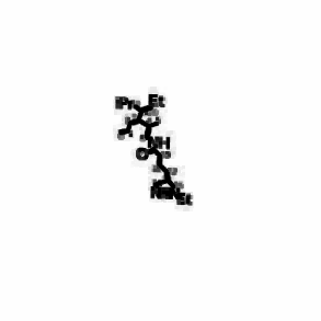 C=C/C=C(C(\C)=C\NC(=O)/C=C/C=C(\C=N)CNCC)/C(=C/CC)C(C)C